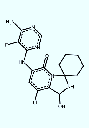 Nc1ncnc(Nc2cc(Cl)c3n(c2=O)C2(CCCCC2)NC3O)c1F